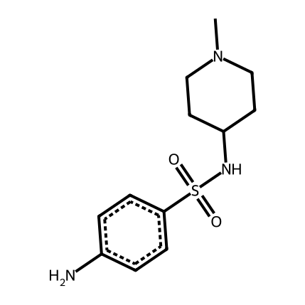 CN1CCC(NS(=O)(=O)c2ccc(N)cc2)CC1